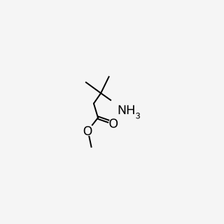 COC(=O)CC(C)(C)C.N